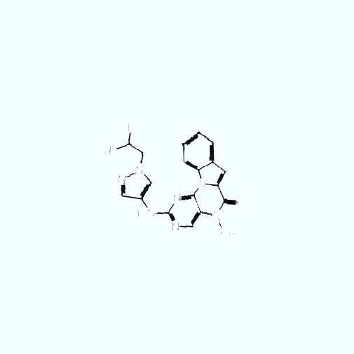 Cn1c(=O)c2cc3ccccc3n2c2nc(Nc3cnn(CC(F)F)c3)ncc21